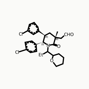 CCC(C1CCCCO1)N1C(=O)[C@@](C)(CC=O)C[C@H](c2cccc(Cl)c2)[C@H]1c1ccc(Cl)cc1